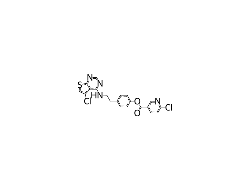 O=C(Oc1ccc(CCNc2ncnc3scc(Cl)c23)cc1)c1ccc(Cl)nc1